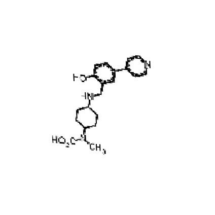 CN(C(=O)O)C1CCC(NCc2cc(-c3ccncc3)ccc2O)CC1